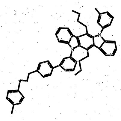 CCCCc1c2c3ccccc3n(-c3cccc(-c4ccc(CCCc5ccc(C)cc5)cc4)c3)c2c(CCCC)c2c3ccccc3n(-c3cccc(C)c3)c12